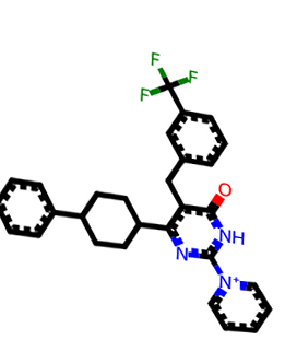 O=c1[nH]c(-[n+]2ccccc2)nc(C2CCC(c3ccccc3)CC2)c1Cc1cccc(C(F)(F)F)c1